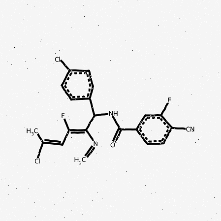 C=N/C(=C(F)\C=C(/C)Cl)C(NC(=O)c1ccc(C#N)c(F)c1)c1ccc(Cl)cc1